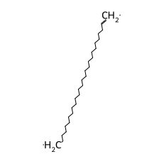 [CH2]/C=C/CCCCCCCCCCCCCCCCCCCCCCCCC[CH2]